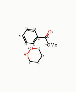 C1CCOOC1.COC(=O)c1ccccc1